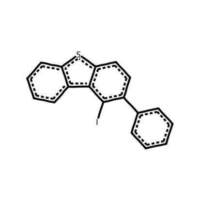 Ic1c(-c2ccccc2)ccc2sc3ccccc3c12